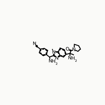 Cn1c(C(N)c2ccc(C#N)cc2)nc2cc(C(C)(N)C(=O)N3CCCC3)ccc21